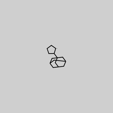 [CH]1CCCC1C12CC3CC(CC(C3)C1)C2